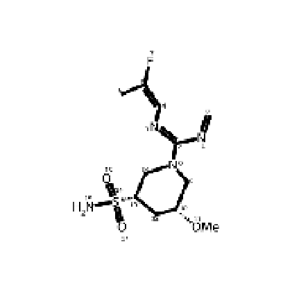 C=N/C(=N\C=C(/C)F)N1C[C@H](OC)C[C@H](S(N)(=O)=O)C1